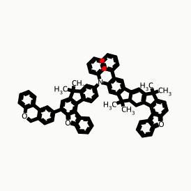 CC1(C)C2=C(CC3C(=C2)c2cc(-c4ccccc4)c(N(c4ccccc4)c4ccc5c(c4)C(C)(C)c4cc(-c6ccc7c(c6)-c6ccccc6OC7)c6oc7ccccc7c6c4-5)cc2C3(C)C)c2c1ccc1oc3ccccc3c21